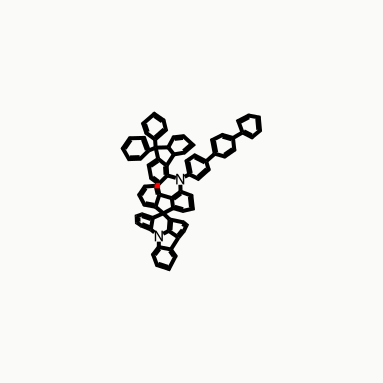 C1=CC2c3c(N(c4ccc(-c5ccc(-c6ccccc6)cc5)cc4)c4cccc5c4-c4ccccc4C54c5ccccc5-n5c6ccccc6c6cccc4c65)cccc3C(c3ccccc3)(c3ccccc3)C2C=C1